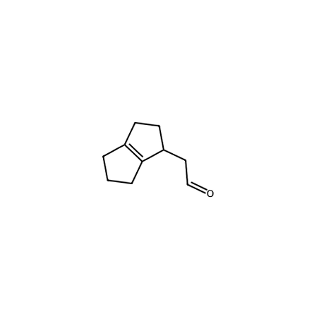 O=CCC1CCC2=C1CCC2